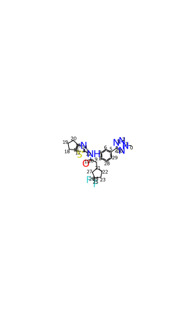 Cn1nnc(-c2ccc([C@@H](C(=O)Nc3nc4c(s3)CCC4)[C@H]3CCC(F)(F)C3)cc2)n1